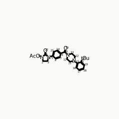 CC(=O)ON1CCN(c2ccc(C(=O)N3CCN(c4ccccc4C(C)(C)C)CC3)cc2)C1=O